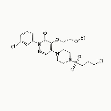 CCOCCOc1c(N2CCN(S(=O)(=O)CCCCl)CC2)cnn(-c2cccc(Cl)c2)c1=O